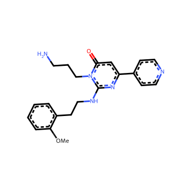 COc1ccccc1CCNc1nc(-c2ccncc2)cc(=O)n1CCCN